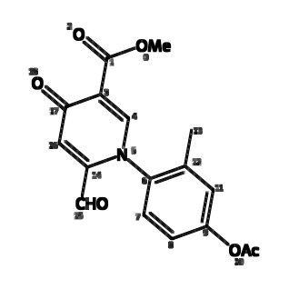 COC(=O)c1cn(-c2ccc(OC(C)=O)cc2C)c(C=O)cc1=O